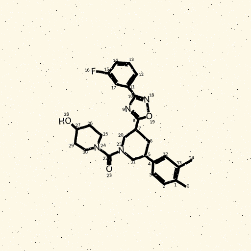 Cc1ccc(C2CC(c3nc(-c4cccc(F)c4)no3)CN(C(=O)N3CCC(O)CC3)C2)cc1C